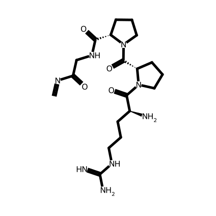 C=NC(=O)CNC(=O)[C@@H]1CCCN1C(=O)[C@@H]1CCCN1C(=O)[C@@H](N)CCCNC(=N)N